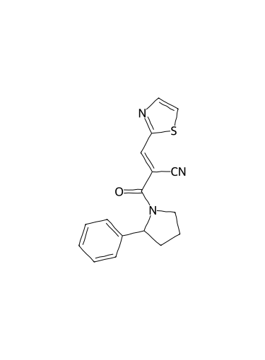 N#C/C(=C\c1nccs1)C(=O)N1CCCC1c1ccccc1